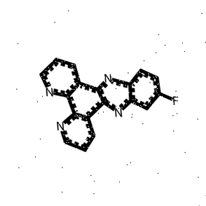 Fc1ccc2nc3c4cccnc4c4ncccc4c3nc2c1